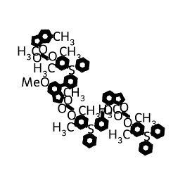 COc1cc2c(c(-c3cccc([S+](c4ccccc4)c4cc(C)c(OCC(=O)OC5(C)CCc6ccc(C)cc65)c(C)c4)c3)c1)C(C)(OC(=O)COc1c(C)cc([S+](c3ccccc3)c3cccc(COc4cccc5c4C(C)(OC(=O)COc4c(C)cc([S+](c6ccccc6)c6ccccc6)cc4C)CC5)c3)cc1C)CC2